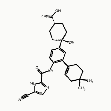 CC1(C)CC=C(c2cc([C@]3(O)CC[C@H](C(=O)O)CC3)ccc2NC(=O)c2ncc(C#N)[nH]2)CC1